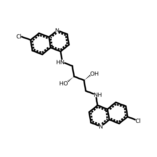 O[C@H](CNc1ccnc2cc(Cl)ccc12)[C@H](O)CNc1ccnc2cc(Cl)ccc12